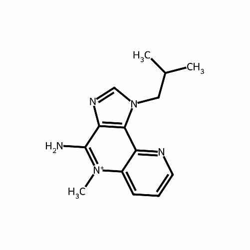 CC(C)Cn1cnc2c(N)[n+](C)c3cccnc3c21